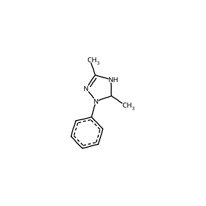 CC1=NN(c2ccccc2)C(C)N1